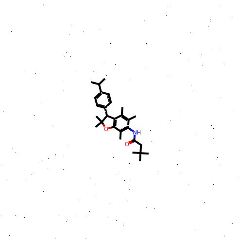 Cc1c(C)c2c(c(C)c1NC(=O)CC(C)(C)C)OC(C)(C)C2c1ccc(C(C)C)cc1